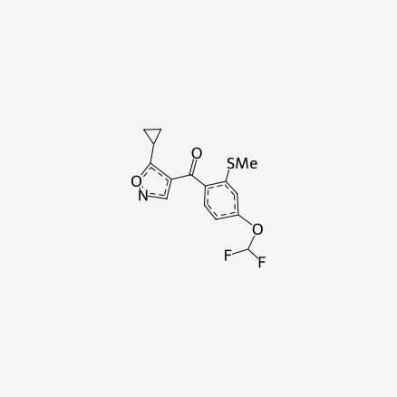 CSc1cc(OC(F)F)ccc1C(=O)c1cnoc1C1CC1